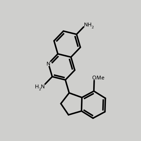 COc1cccc2c1C(c1cc3cc(N)ccc3nc1N)CC2